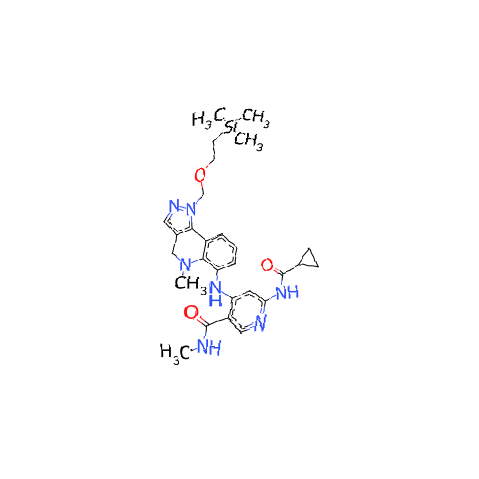 CNC(=O)c1cnc(NC(=O)C2CC2)cc1Nc1cccc2c1N(C)Cc1cnn(COCC[Si](C)(C)C)c1-2